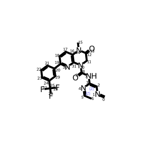 C=N/C=C(\N=C/C)NC(=O)N1CC(=O)N(C)c2ccc(-c3cccc(C(F)(F)F)c3)nc21